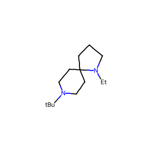 CCN1CCCC12CCN(C(C)(C)C)CC2